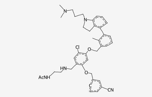 CC(=O)NCCNCc1cc(Cl)c(OCc2cccc(-c3cccc4c3CCN4CCCN(C)C)c2C)cc1OCc1cccc(C#N)c1